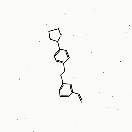 O=Cc1cccc(OCc2ccc(C3OCCO3)cc2)c1